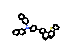 c1ccc2cc(N(c3ccc(-c4ccc5c(ccc6ccc7c8ccccc8sc7c65)c4)cc3)c3ccc4ccccc4c3)ccc2c1